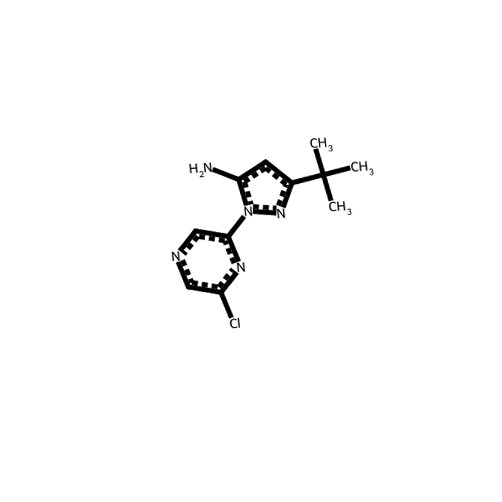 CC(C)(C)c1cc(N)n(-c2cncc(Cl)n2)n1